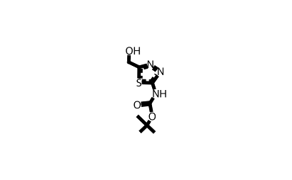 CC(C)(C)OC(=O)Nc1nnc(CO)s1